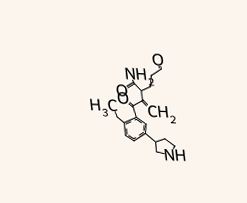 C=C(C(=O)c1cc(C2CCNC2)ccc1CC)C(CCC=O)C(N)=O